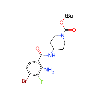 CC(C)(C)OC(=O)N1CCC(NC(=O)c2ccc(Br)c(F)c2N)CC1